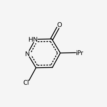 CC(C)c1cc(Cl)n[nH]c1=O